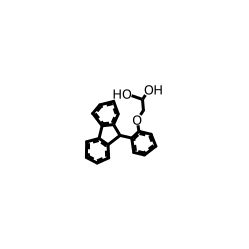 OC(O)COc1ccccc1C1c2ccccc2-c2ccccc21